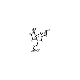 CC=CCCCCCCCCCCCCCC.CCN1CCN=C1O